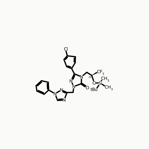 CC(C)(C)[Si](C)(C)O[C@@H](Cn1c(-c2ccc(Cl)cc2)nn(Cc2ncn(-c3ccccc3)n2)c1=O)C(F)(F)F